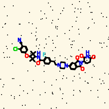 CC1(C)C(NC(=O)c2ccc(CCN3CCN(c4ccc5c(c4)C(=O)N(C4CCC(=O)NC4=O)C5=O)CC3)cc2F)C(C)(C)C1Oc1ccc(C#N)c(Cl)c1